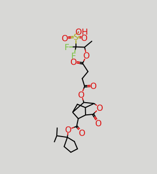 CC(C)C1(OC(=O)C2C3CC4C(OC(=O)C42)C3OC(=O)CCC(=O)OC(C)C(F)(F)S(=O)(=O)O)CCCC1